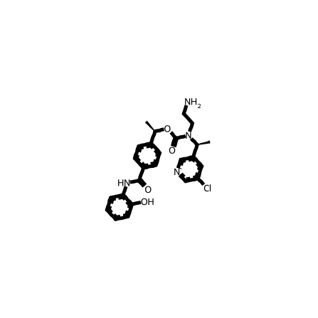 C[C@@H](OC(=O)N(CCN)[C@@H](C)c1cncc(Cl)c1)c1ccc(C(=O)Nc2ccccc2O)cc1